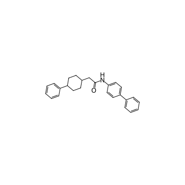 O=C(CC1CCC(c2ccccc2)CC1)Nc1ccc(-c2ccccc2)cc1